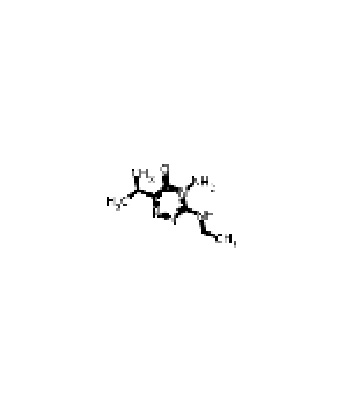 CCNc1nnc(C(C)C)c(=O)n1N